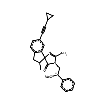 CO[C@@H](CN1C(=O)C2(N=C1N)c1cc(C#CC3CC3)ccc1CC2C)c1ccccc1